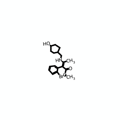 COC(=O)/C(=C(\C)NCC1CCC(O)CC1)c1ccccc1Br